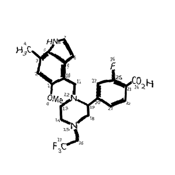 COc1cc(C)c2[nH]ccc2c1CN1CCN(CC(F)(F)F)CC1c1ccc(C(=O)O)c(F)c1